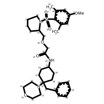 COc1cc(C)c(S(=O)(=O)N2CCCCC2COCC(=O)NC2CCC(Cc3ccccc3)(N3CCOCC3)CC2)c(C)c1